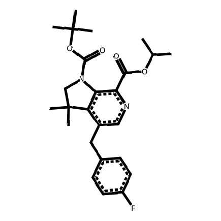 CC(C)OC(=O)c1ncc(Cc2ccc(F)cc2)c2c1N(C(=O)OC(C)(C)C)CC2(C)C